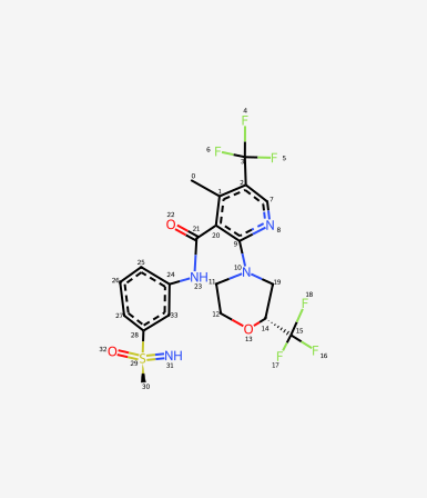 Cc1c(C(F)(F)F)cnc(N2CCO[C@@H](C(F)(F)F)C2)c1C(=O)Nc1cccc([S@](C)(=N)=O)c1